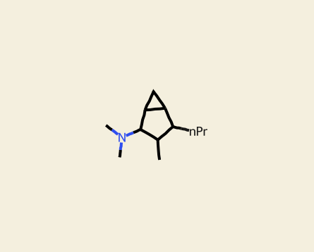 CCCC1C(C)C(N(C)C)C2CC12